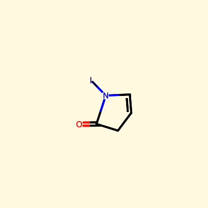 O=C1CC=CN1I